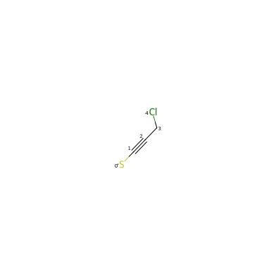 [S]C#CCCl